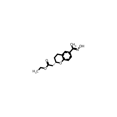 CCOC(=O)C[C@@H]1CCc2cc(/C(C)=N/O)ccc2O1